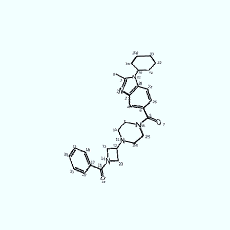 Cc1nc2cc(C(=O)N3CCN(C4CN(C(=O)c5ccccc5)C4)CC3)ccc2n1C1CCCCC1